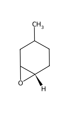 CC1CC[C@@H]2OC2C1